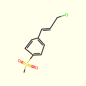 CS(=O)(=O)c1ccc(C=CCCl)cc1